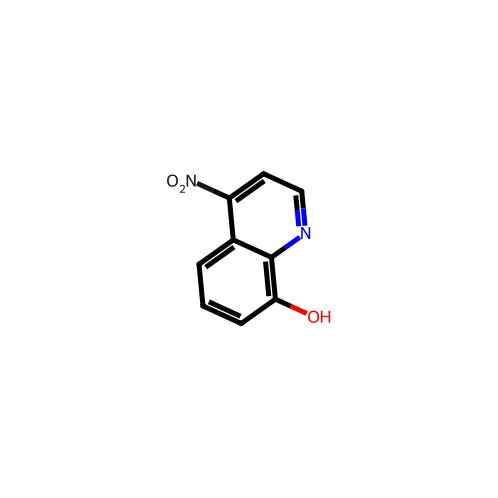 O=[N+]([O-])c1ccnc2c(O)cccc12